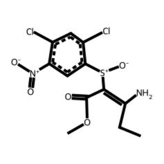 CCC(N)=C(C(=O)OC)[S+]([O-])c1cc([N+](=O)[O-])c(Cl)cc1Cl